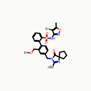 CCCCC1=NC2(CCCC2)C(=O)N1Cc1ccc(-c2ccccc2S(=O)(=O)Nc2noc(C)c2Br)c(COCC)c1